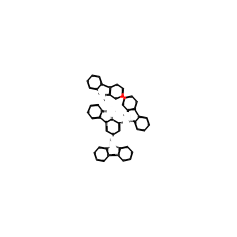 c1cc(-n2c3ccccc3c3ccccc32)c2oc3c(-n4c5ccccc5c5ccccc54)cc(-n4c5ccccc5c5ccccc54)cc3c2c1